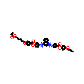 C=C(C)C(=O)OCCCCCCOc1ccc(C(=O)Oc2ccc(/N=N/c3ccc(/N=N/c4ccc(C(=O)Oc5ccc(OCCCC)cc5)cc4)c4ccccc34)cc2)cc1